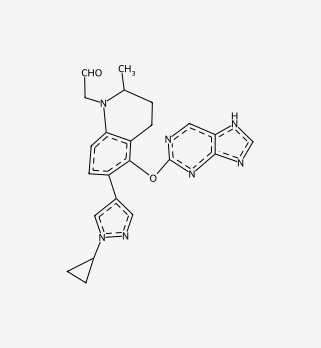 CC1CCc2c(ccc(-c3cnn(C4CC4)c3)c2Oc2ncc3[nH]cnc3n2)N1CC=O